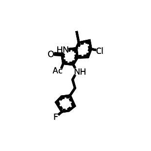 CC(=O)c1c(NCCc2ccc(F)cc2)c2cc(Cl)cc(C)c2[nH]c1=O